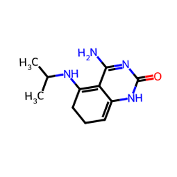 CC(C)NC1=c2c(N)nc(=O)[nH]c2=CCC1